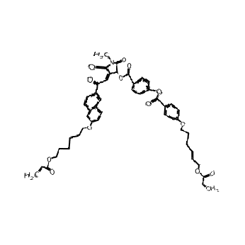 C=CC(=O)OCCCCCCOc1ccc(C(=O)Oc2ccc(C(=O)O[C@H]3C(=O)N(C)C(=O)/C3=C\C(=O)c3ccc4cc(OCCCCCCOC(=O)C=C)ccc4c3)cc2)cc1